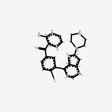 O=C(c1ccc(F)c(-c2ncnc3cc(N4CCOCC4)sc23)c1)c1nccnc1Cl